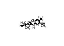 CNc1nc(Nc2sc(C(C)(C)C#N)nc2Cl)ncc1C(F)(F)F